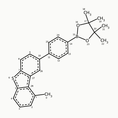 Cc1cccc2sc3ccc(-c4ccc(B5OC(C)(C)C(C)(C)O5)cc4)cc3c12